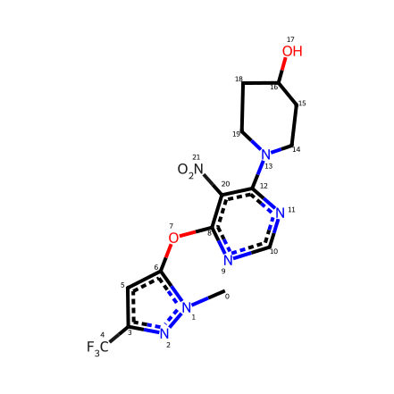 Cn1nc(C(F)(F)F)cc1Oc1ncnc(N2CCC(O)CC2)c1[N+](=O)[O-]